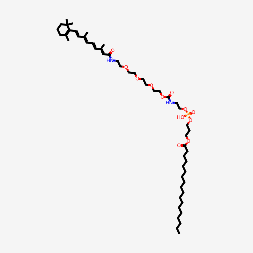 CCCCCCCCCCCCCCCCCC(=O)OCCCOP(=O)(O)OCCNC(=O)OCCOCCOCCOCCNC(=O)/C=C(C)/C=C/C=C(C)/C=C/C1=C(C)CCCC1(C)C